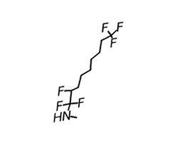 CNC(F)(F)C(F)CCCCCCC(F)(F)F